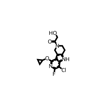 O=C(CO)N1CCc2[nH]c3c(Cl)c(F)nc(OC4CC4)c3c2C1